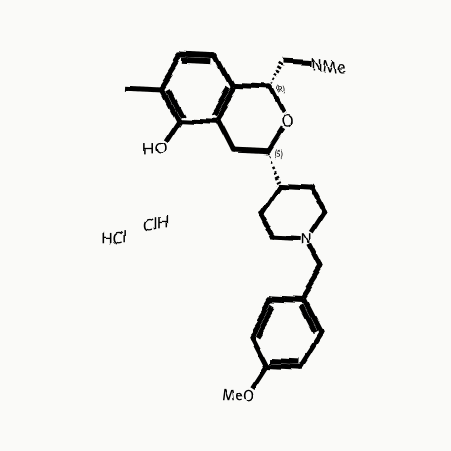 CNC[C@@H]1O[C@H](C2CCN(Cc3ccc(OC)cc3)CC2)Cc2c1ccc(C)c2O.Cl.Cl